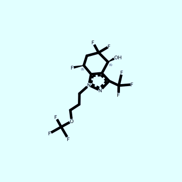 O[C@H]1c2c(C(F)(F)F)nn(CCCOC(F)(F)F)c2[C@@H](F)CC1(F)F